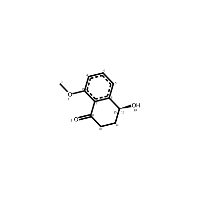 COc1cccc2c1C(=O)CC[C@@H]2O